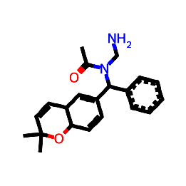 CC(=O)N(CN)C(C1=CC2C=CC(C)(C)OC2C=C1)c1ccccc1